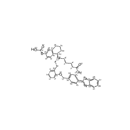 O=C(O)CCCCN(CCc1ccccc1OCc1ccc(-c2nc3ccccc3o2)cc1)C1CCCc2nc(OC(=O)O)ccc21